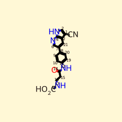 N#Cc1c[nH]c2ncc(-c3ccc(NC(=O)CCNC(=O)O)cc3)cc12